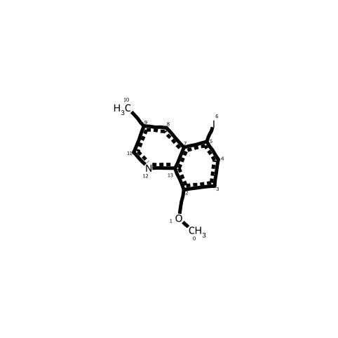 COc1ccc(I)c2cc(C)cnc12